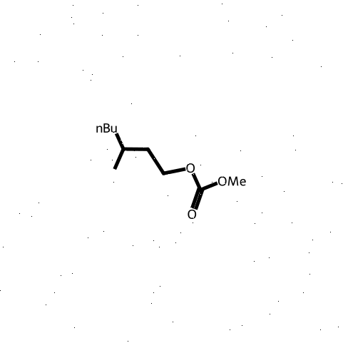 CCCCC(C)CCOC(=O)OC